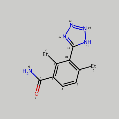 CCc1ccc(C(N)=O)c(CC)c1-c1nnn[nH]1